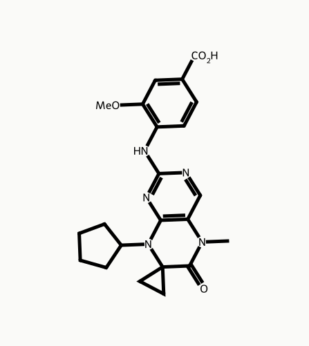 COc1cc(C(=O)O)ccc1Nc1ncc2c(n1)N(C1CCCC1)C1(CC1)C(=O)N2C